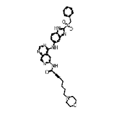 O=C(C#CCCCCN1CCOCC1)Nc1cc2c(Nc3ccc4[nH]c(S(=O)(=O)Cc5ccccc5)nc4c3)ncnc2cn1